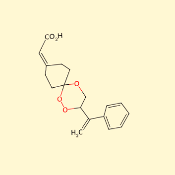 C=C(c1ccccc1)C1COC2(CCC(=CC(=O)O)CC2)OO1